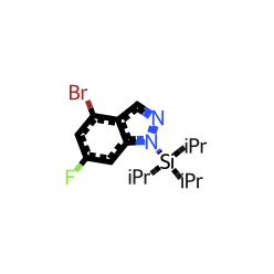 CC(C)[Si](C(C)C)(C(C)C)n1ncc2c(Br)cc(F)cc21